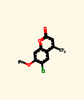 CC(C)Oc1cc2oc(=O)cc(C(F)(F)F)c2cc1Cl